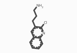 NCCCc1cc2ccccc2nc1Cl